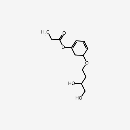 CCC(=O)OC1=CC=CC(OCCC(O)CO)C1